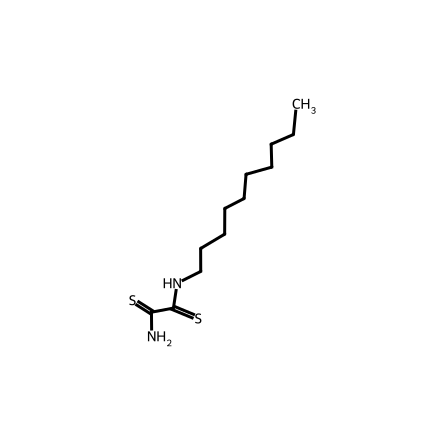 CCCCCCCCCCNC(=S)C(N)=S